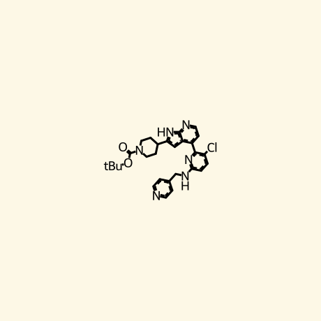 CC(C)(C)OC(=O)N1CCC(c2cc3c(-c4nc(NCc5ccncc5)ccc4Cl)ccnc3[nH]2)CC1